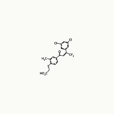 Cc1cc(C(=O)/C=C(\c2cc(Cl)cc(Cl)c2)C(F)(F)F)ccc1SCC(=O)O